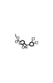 CCOC(=O)c1ccc2c(-c3ccc(Cl)c(Cl)c3)noc2n1